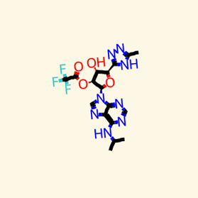 Cc1nnc([C@H]2O[C@@H](n3cnc4c(NC(C)C)ncnc43)[C@H](OC(=O)C(F)(F)F)[C@@H]2O)[nH]1